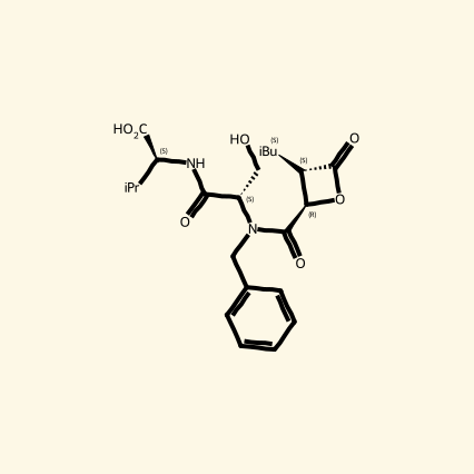 CC[C@H](C)[C@@H]1C(=O)O[C@H]1C(=O)N(Cc1ccccc1)[C@@H](CO)C(=O)N[C@H](C(=O)O)C(C)C